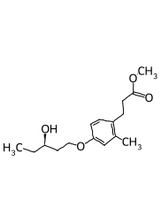 CC[C@@H](O)CCOc1ccc(CCC(=O)OC)c(C)c1